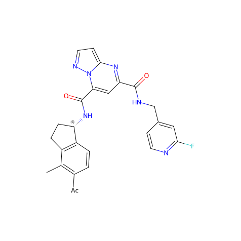 CC(=O)c1ccc2c(c1C)CC[C@@H]2NC(=O)c1cc(C(=O)NCc2ccnc(F)c2)nc2ccnn12